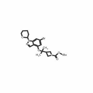 CC(C)(C)OC(=O)N1CC(C(C)(C)Oc2cc(Br)cc3c2cnn3C2CCCCO2)C1